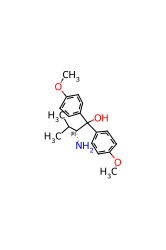 COc1ccc(C(O)(c2ccc(OC)cc2)[C@H](N)C(C)C)cc1